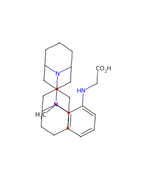 CN(c1ccccc1NCC(=O)O)C1CC2CCCC(C1)N2C1CC2CCCC(C2)C1